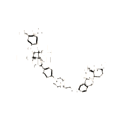 CC1(C)[C@H](NC(=O)c2ccc(N3CCN(CCOc4ccc5c(c4)C(=O)N(C4CCC(=O)NC4=O)C5)CC3)cc2)C(C)(C)[C@H]1Oc1ccc(C#N)c(Cl)c1